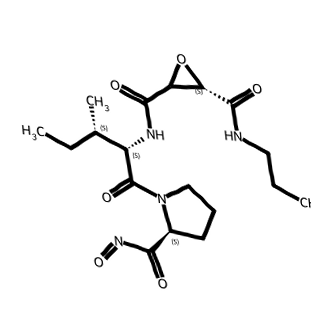 CCCNC(=O)[C@H]1OC1C(=O)N[C@H](C(=O)N1CCC[C@H]1C(=O)N=O)[C@@H](C)CC